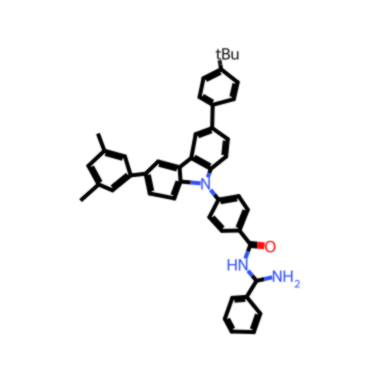 Cc1cc(C)cc(-c2ccc3c(c2)c2cc(-c4ccc(C(C)(C)C)cc4)ccc2n3-c2ccc(C(=O)NC(N)c3ccccc3)cc2)c1